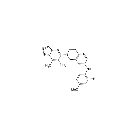 COc1ccc(Nc2cnc3c(c2)CN(c2nn4cnnc4c(C)c2C)CC3)c(F)c1